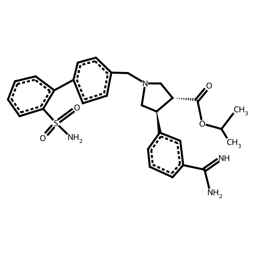 CC(C)OC(=O)[C@H]1CN(Cc2ccc(-c3ccccc3S(N)(=O)=O)cc2)C[C@@H]1c1cccc(C(=N)N)c1